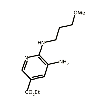 CCOC(=O)c1cnc(NCCCOC)c(N)c1